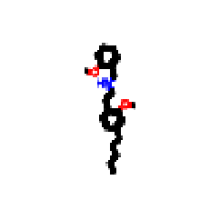 CCCCCc1ccc(CCNCc2ccccc2OC)c(OC)c1